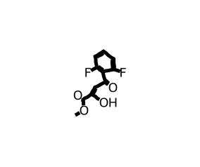 COC(=O)C(O)=CC(=O)c1c(F)cccc1F